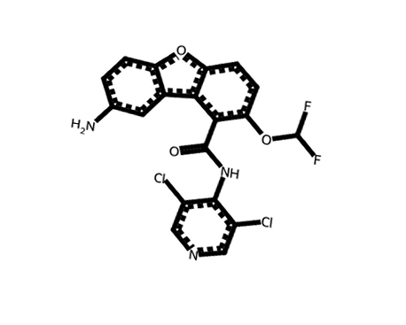 Nc1ccc2oc3ccc(OC(F)F)c(C(=O)Nc4c(Cl)cncc4Cl)c3c2c1